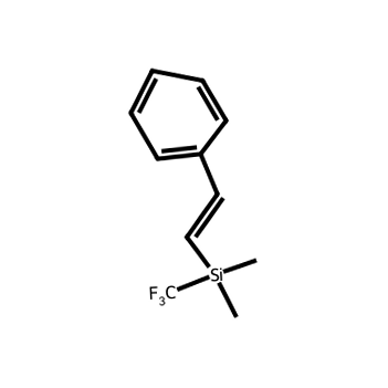 C[Si](C)(C=Cc1ccccc1)C(F)(F)F